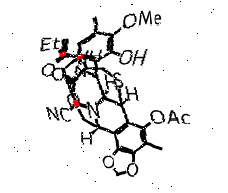 C=CCN1C2c3c(cc(C)c(OC)c3O)CC1[C@H](C#N)N1[C@H]2[C@@H]2SCC(NC(=O)CC)C(=O)OC[C@H]1c1c3c(c(C)c(OC(C)=O)c12)OCO3